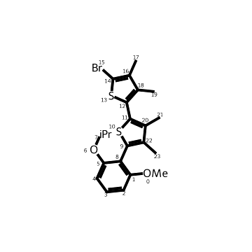 COc1cccc(OC(C)C)c1-c1sc(-c2sc(Br)c(C)c2C)c(C)c1C